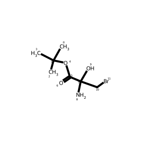 CC(C)(C)OC(=O)C(N)(O)CBr